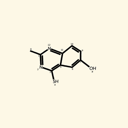 Cc1nc(S)c2cc(O)ccc2n1